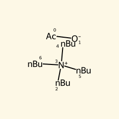 CC(=O)[O-].CCCC[N+](CCCC)(CCCC)CCCC